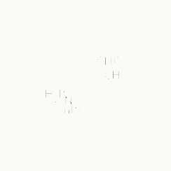 CCCN(P)CCCCC(C)C=O